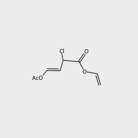 C=COC(=O)C(Cl)C=COC(C)=O